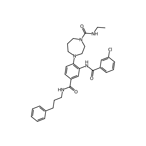 CCNC(=O)N1CCCN(c2ccc(C(=O)NCCCc3ccccc3)cc2NC(=O)c2cccc(Cl)c2)CC1